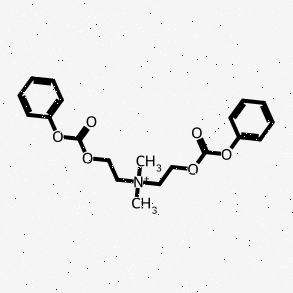 C[N+](C)(CCOC(=O)Oc1ccccc1)CCOC(=O)Oc1ccccc1